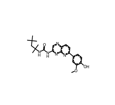 COc1cc(-c2ccc3ncc(NC(=O)NC(C)(C)CC(C)(C)C)nc3n2)ccc1O